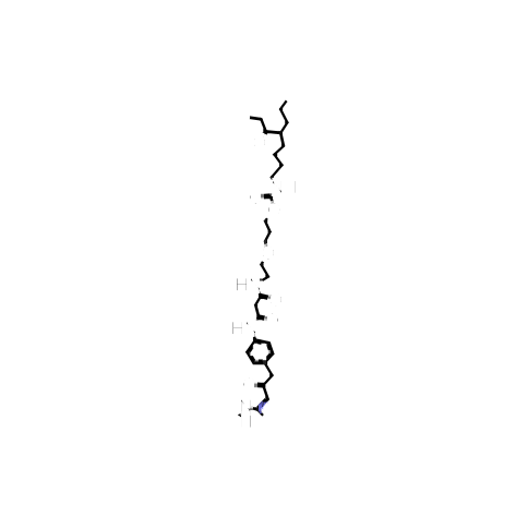 CCCC(CCCCNC(=O)OCCCOCCNC(=O)CC(=O)Nc1ccc(CC(=O)/C=C(/C)NC)cc1)C(=O)CC